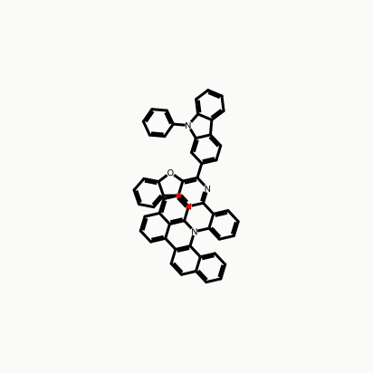 c1ccc(-n2c3ccccc3c3ccc(-c4nc(-c5ccccc5N5c6c(ccc7ccccc67)-c6cccc7cccc5c67)nc5c4oc4ccccc45)cc32)cc1